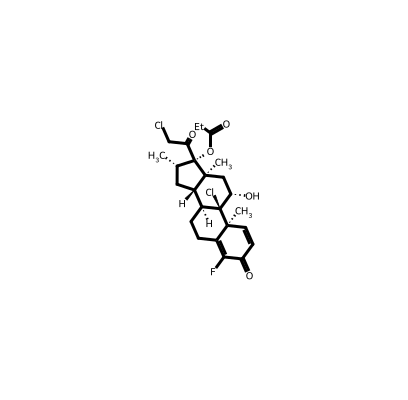 CCC(=O)O[C@@]1(C(=O)CCl)[C@@H](C)C[C@H]2[C@@H]3CCC4=C(F)C(=O)C=C[C@]4(C)[C@@]3(Cl)[C@@H](O)C[C@@]21C